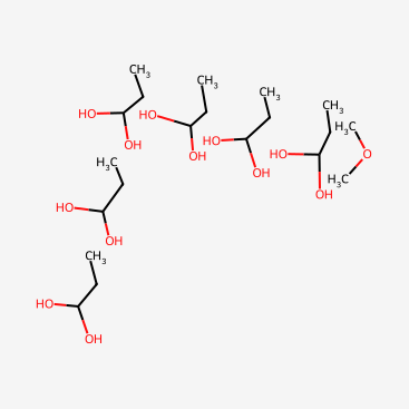 CCC(O)O.CCC(O)O.CCC(O)O.CCC(O)O.CCC(O)O.CCC(O)O.COC